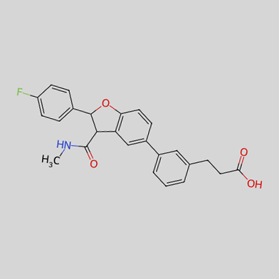 CNC(=O)C1c2cc(-c3cccc(CCC(=O)O)c3)ccc2OC1c1ccc(F)cc1